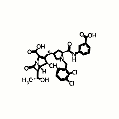 C[C@@H](O)[C@H]1C(=O)N2C(C(=O)O)=C(S[C@H]3C[C@@H](C(=O)Nc4cccc(C(=O)O)c4)N(Cc4cccc(Cl)c4Cl)C3)[C@H](C)[C@H]12